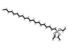 CCCCCCCCCCCCCCCCCCCC[Si](OCC)(OCC)OCC